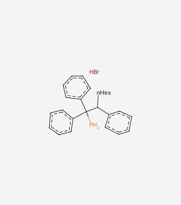 Br.CCCCCCC(c1ccccc1)C(P)(c1ccccc1)c1ccccc1